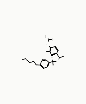 CCCCCc1ccc(C(F)(F)OC(C)c2ccc(OC(F)F)c(F)c2)cc1